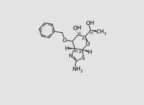 C[C@H](O)[C@H]1O[C@@H]2SC(N)=N[C@@H]2C(OCc2ccccc2)[C@@H]1O